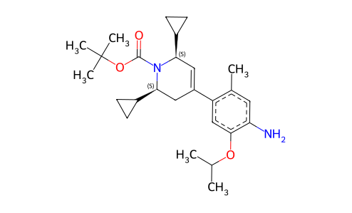 Cc1cc(N)c(OC(C)C)cc1C1=C[C@H](C2CC2)N(C(=O)OC(C)(C)C)[C@H](C2CC2)C1